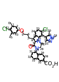 Cc1cc(OCCCc2c3n(c4c(-c5c(C)nn(C)c5C)c(Cl)ccc24)C(C)CN(c2cccc4cc(C(=O)O)ccc24)C3=O)cc(C)c1Cl